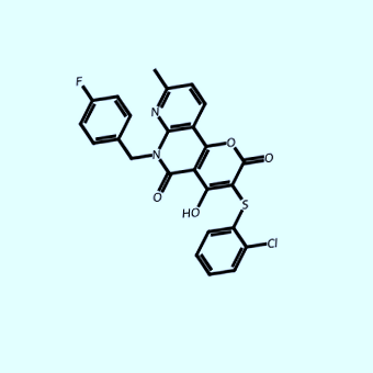 Cc1ccc2c3oc(=O)c(Sc4ccccc4Cl)c(O)c3c(=O)n(Cc3ccc(F)cc3)c2n1